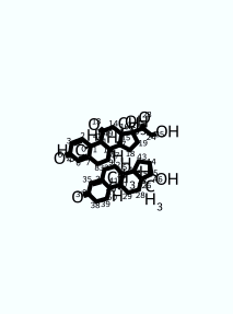 C[C@]12C=CC(=O)C=C1CC[C@@H]1[C@@H]2C(=O)C[C@@]2(C)[C@H]1CC[C@]2(O)C(=O)CO.C[C@]12CC[C@H]3[C@@H](CCC4=CC(=O)CC[C@@]43C)[C@@H]1CC[C@@H]2O